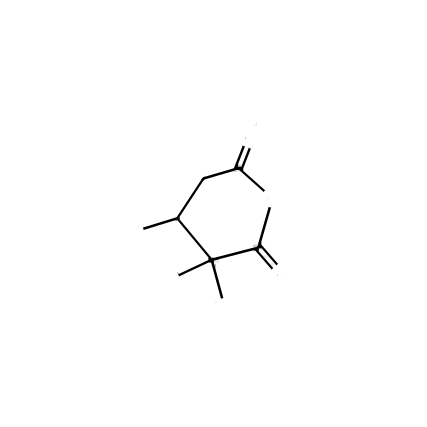 CC1CC(=O)OC(=O)C1(C)C